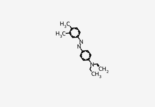 C=CN(CC)c1ccc(N=Nc2ccc(C)c(C)c2)cc1